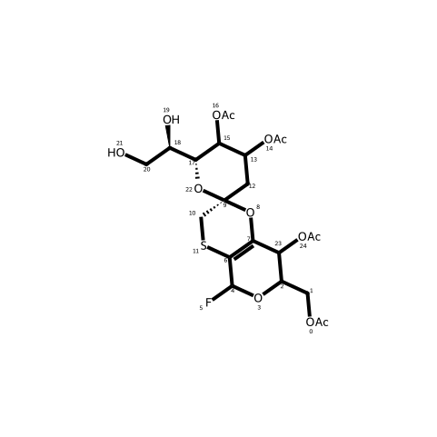 CC(=O)OCC1OC(F)C2=C(O[C@]3(CS2)CC(OC(C)=O)C(OC(C)=O)[C@@H]([C@H](O)CO)O3)C1OC(C)=O